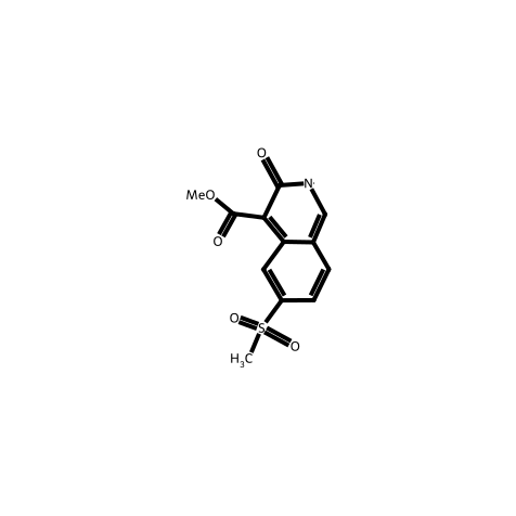 COC(=O)C1=c2cc(S(C)(=O)=O)ccc2=C[N]C1=O